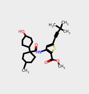 COC(=O)c1sc(C#CC(C)(C)C)cc1NC(=O)C1(C2CCC(O)CC2)CCC(C)CC1